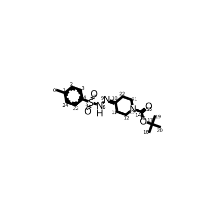 Cc1ccc(S(=O)(=O)NN=C2CCN(C(=O)OC(C)(C)C)CC2)cc1